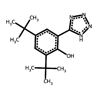 CC(C)(C)c1cc(-c2nnn[nH]2)c(O)c(C(C)(C)C)c1